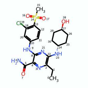 CCc1nc(C(N)=O)c(Nc2ccc(S(C)(=O)=O)c(Cl)c2)nc1N[C@H]1CC[C@H](O)CC1